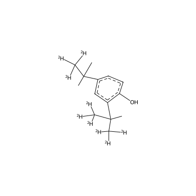 [2H]C([2H])([2H])C(C)(C)c1ccc(O)c(C(C)(C([2H])([2H])[2H])C([2H])([2H])[2H])c1